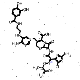 C=C(O)[C@H](C)O/N=C(\C(=O)N[C@@H]1C(=O)N2C(C(=O)O)=C(C[n+]3cnc(N)c(NCCNC(=O)c4ccc(O)c(O)c4)c3)CSC12)c1nc(N)sc1Cl